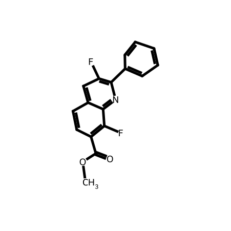 COC(=O)c1ccc2cc(F)c(-c3ccccc3)nc2c1F